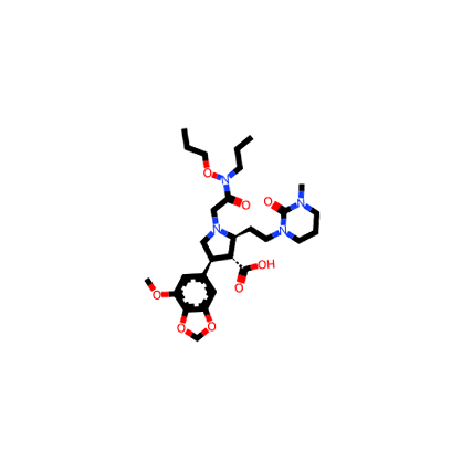 CCCON(CCC)C(=O)CN1C[C@H](c2cc(OC)c3c(c2)OCO3)[C@@H](C(=O)O)[C@@H]1CCN1CCCN(C)C1=O